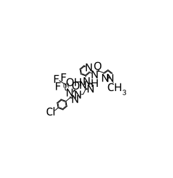 CCn1ccc(C(=O)Nc2ncccc2-n2cnc(Cn3nc(-c4ccc(Cl)cc4)n(C[C@H](O)C(F)(F)F)c3=O)n2)n1